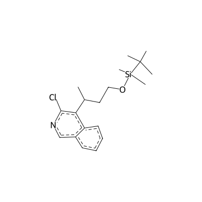 CC(CCO[Si](C)(C)C(C)(C)C)c1c(Cl)ncc2ccccc12